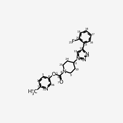 Cc1ccc(OC(=O)N2CCC(n3cc(-c4ccccc4F)nn3)CC2)cn1